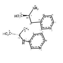 C[C@H](Nc1cccnc1)C(=O)O.N[C@@H](Cc1cccnc1)C(=O)O